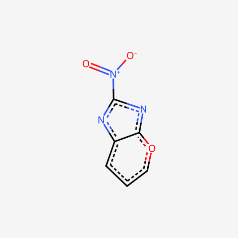 O=[N+]([O-])c1nc2cccoc-2n1